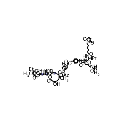 CC[C@H](O)[C@@H](C)[C@H]1O[C@@H]1C[C@@](C)(O)/C=C/C=C(\C)[C@H]1OC(=O)C[C@H](O)CC[C@@](C)(OC(C)=O)[C@@H](OC(=O)N2C[C@H]3CC2CN3C(=O)OCc2ccc(NC(=O)[C@H](CCCNC(N)=O)NC(=O)[C@@H](NC(=O)CCCCCN3C(=O)C=CC3=O)C(C)C)cc2)/C=C/[C@@H]1C